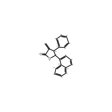 C=C1C(=O)OC(c2cccc3ccccc23)C1c1ccccc1